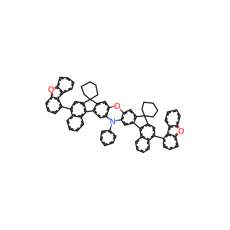 c1ccc(N2c3cc4c(cc3Oc3cc5c(cc32)-c2c(cc(-c3cccc6oc7ccccc7c36)c3ccccc23)C52CCCCC2)C2(CCCCC2)c2cc(-c3cccc5oc6ccccc6c35)c3ccccc3c2-4)cc1